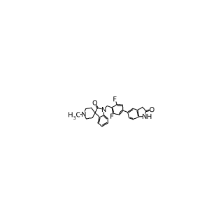 CN1CCC2(CC1)C(=O)N(Cc1c(F)cc(-c3ccc4c(c3)CC(=O)N4)cc1F)c1ccccc12